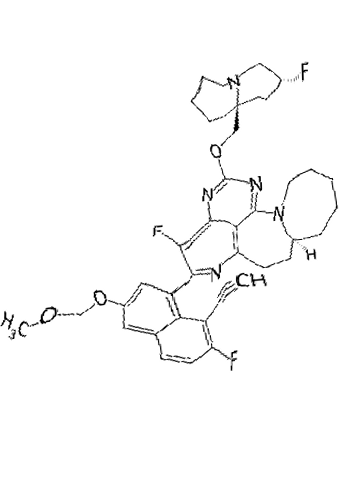 C#Cc1c(F)ccc2cc(OCOC)cc(-c3nc4c5c(nc(OC[C@@]67CCCN6C[C@H](F)C7)nc5c3F)N3CCCCC[C@H]3CC4)c12